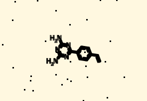 C=Cc1ccc(-c2nc(N)nc(N)n2)cc1